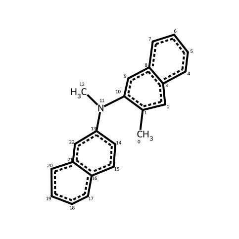 Cc1cc2ccccc2cc1N(C)c1ccc2ccccc2c1